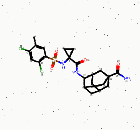 Cc1cc(S(=O)(=O)NC2(C(=O)NC3C4CC5CC3CC(C(N)=O)(C5)C4)CC2)c(Cl)cc1Cl